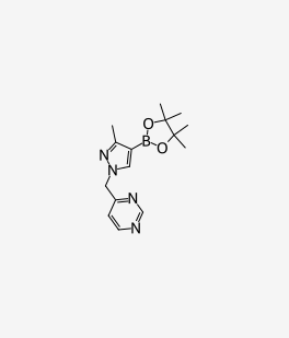 Cc1nn(Cc2ccncn2)cc1B1OC(C)(C)C(C)(C)O1